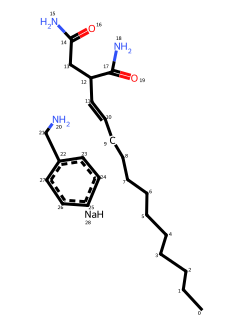 CCCCCCCCCCC=CC(CC(N)=O)C(N)=O.NCc1ccccc1.[NaH]